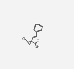 O=C(O)C1(C=Cc2ccccc2)CC1Cl